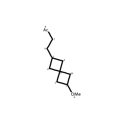 COC1CC2(CC(CCC(C)=O)C2)C1